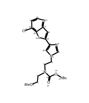 COCCN(CCn1cnc(-c2cc3nccc(Cl)c3s2)c1)C(=O)OC(C)(C)C